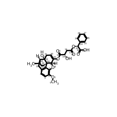 COc1ccc2c3c1O[C@H]1C(OC(=O)[C@@H](O)CC(=O)O[C@H](C(=O)O)c4ccccc4)=CC[C@@]4(O)[C@@H](C2)C(C)CC[C@]314